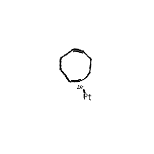 C1=CCCC=CCC1.[Br][Pt]